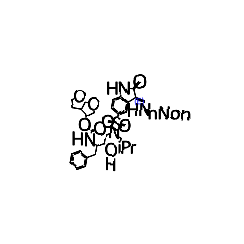 CCCCCCCCCN/C=C1/C(=O)Nc2ccc(S(=O)(=O)N(CC(C)C)CC(O)C(Cc3ccccc3)NC(=O)OC3COC4OCCC34)cc21